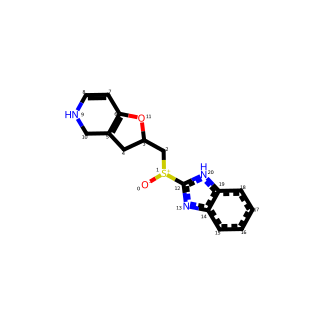 [O-][S+](CC1CC2=C(C=CNC2)O1)c1nc2ccccc2[nH]1